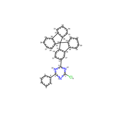 Clc1nc(-c2ccccc2)nc(-c2ccc3c(c2)-c2ccccc2C32c3ccccc3-c3ccccc32)n1